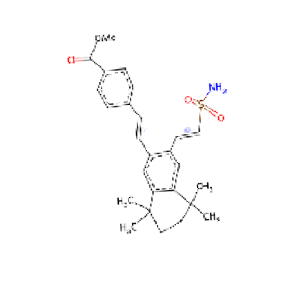 COC(=O)c1ccc(/C=C/c2cc3c(cc2/C=C/S(N)(=O)=O)C(C)(C)CCC3(C)C)cc1